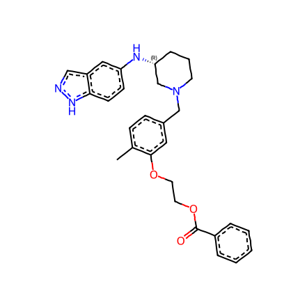 Cc1ccc(CN2CCC[C@@H](Nc3ccc4[nH]ncc4c3)C2)cc1OCCOC(=O)c1ccccc1